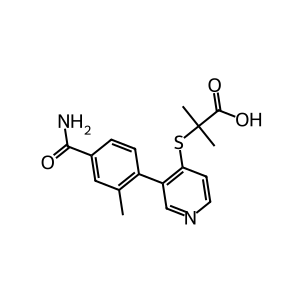 Cc1cc(C(N)=O)ccc1-c1cnccc1SC(C)(C)C(=O)O